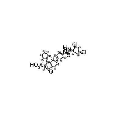 CN(C(=O)c1ccc(-c2ccc(NC(=O)Nc3ccc(Cl)cc3Cl)cc2)cc1)[C@@H](Cc1ccccc1)C(=O)O